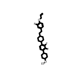 C=CCOc1ccc(CCC2CCC(c3ccc(C4CCC(OCC)CC4)c(F)c3F)CC2)cc1F